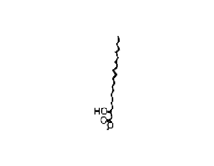 CCCCCCCCCCCCCCCCCCC(O)CC(=O)OC